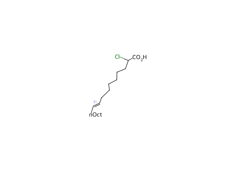 CCCCCCCC/C=C/CCCCCCC(Cl)C(=O)O